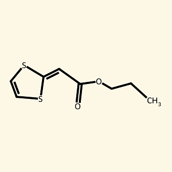 CCCOC(=O)C=C1SC=CS1